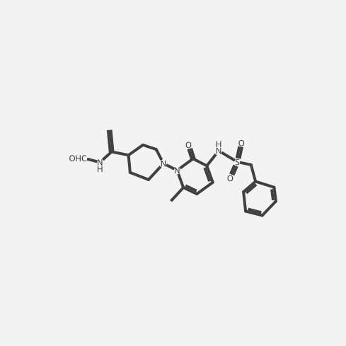 C=C(NC=O)C1CCN(n2c(C)ccc(NS(=O)(=O)Cc3ccccc3)c2=O)CC1